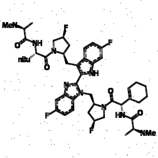 CCCC[C@H](NC(=O)[C@H](C)NC)C(=O)N1C[C@@H](F)C[C@H]1Cc1c(-c2nc3cc(F)ccc3n2C[C@@H]2C[C@H](F)CN2C(=O)[C@@H](NC(=O)[C@H](C)NC)C2=CCCCC2)[nH]c2cc(F)ccc12